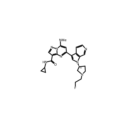 CNc1cc(-c2cn([C@H]3CCN(CCF)C3)c3cnccc23)nc2c(C(=O)NC3CC3)cnn12